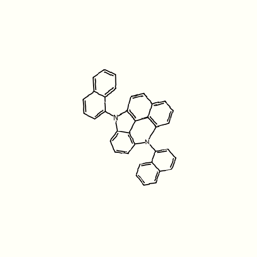 c1ccc2c(N3c4cccc5ccc6c(c45)c4c3cccc4n6-c3cccc4ccccc34)cccc2c1